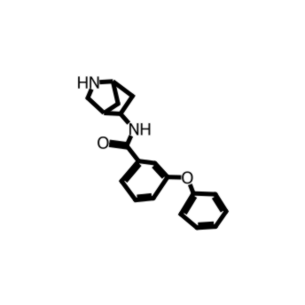 O=C(NC1CC2CC1CN2)c1cccc(Oc2ccccc2)c1